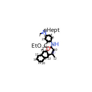 CCCCCCCN(C)c1ccc(NC(=O)/C=C(/C)c2ccc3ccccc3c2)c(C(=O)OCC)c1